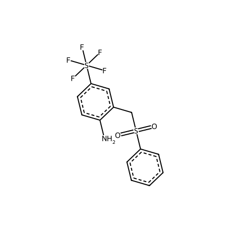 Nc1ccc(S(F)(F)(F)(F)F)cc1CS(=O)(=O)c1ccccc1